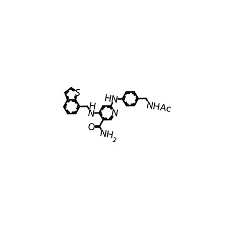 CC(=O)NCc1ccc(Nc2cc(NCc3cccc4ccsc34)c(C(N)=O)cn2)cc1